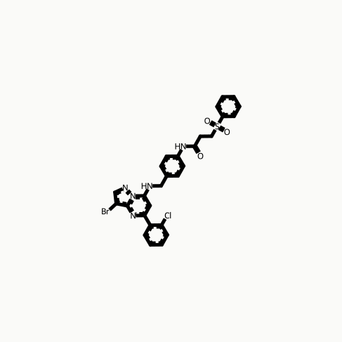 O=C(CCS(=O)(=O)c1ccccc1)Nc1ccc(CNc2cc(-c3ccccc3Cl)nc3c(Br)cnn23)cc1